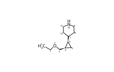 CCOC[C@@H]1C[C@@H]1C1CCNCC1